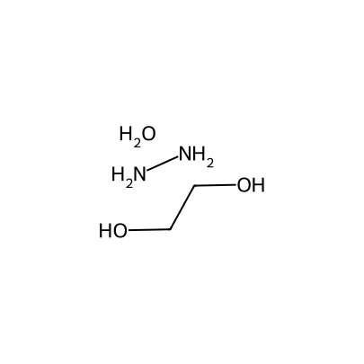 NN.O.OCCO